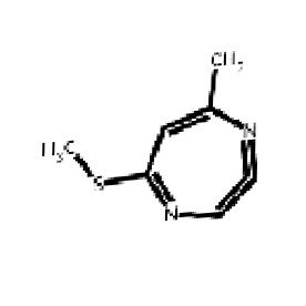 CSC1=NC=C=NC(C)=C1